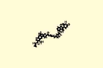 CNc1c(C(=O)NC2CC2)cnc2cc(C(F)(F)F)c(-c3ccc(C(=O)NCCCCn4cc(C(C)(C)Nc5cccc6c5C(=O)N(C5CCC(=O)NC5=O)C6=O)nn4)nc3)cc12